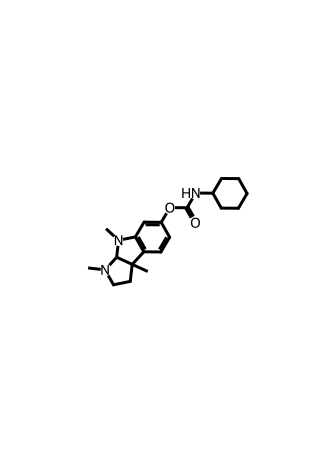 CN1CCC2(C)c3ccc(OC(=O)NC4CCCCC4)cc3N(C)C12